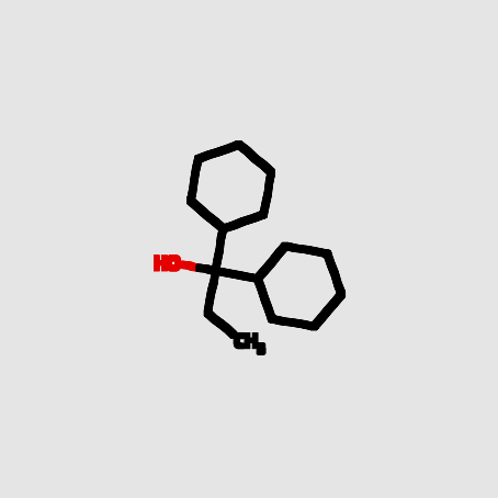 CCC(O)(C1CCCCC1)C1CCCCC1